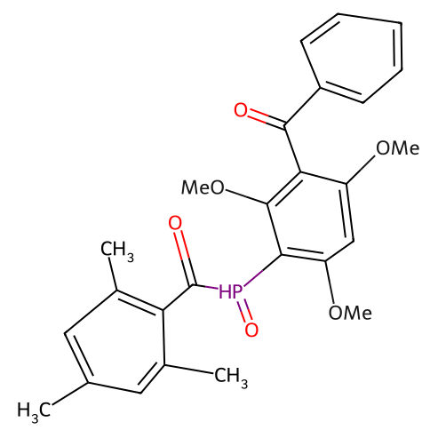 COc1cc(OC)c([PH](=O)C(=O)c2c(C)cc(C)cc2C)c(OC)c1C(=O)c1ccccc1